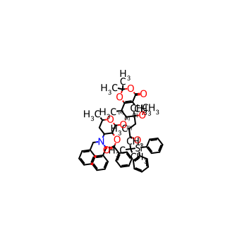 CO[C@](C)(C[C@@H](C)CO[Si](c1ccccc1)(c1ccccc1)C(C)(C)C)[C@H](OC1OC(C)CC(N(Cc2ccccc2)Cc2ccccc2)C1OC(=O)c1ccccc1)[C@@H](C)C1=C(C)C(=O)OC(C)(C)O1